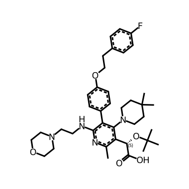 Cc1nc(NCCN2CCOCC2)c(-c2ccc(OCCc3ccc(F)cc3)cc2)c(N2CCC(C)(C)CC2)c1[C@H](OC(C)(C)C)C(=O)O